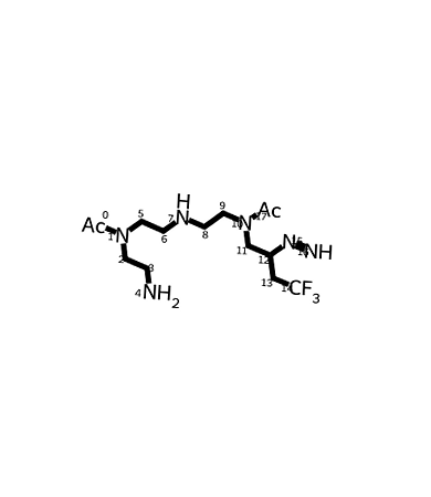 CC(=O)N(CCN)CCNCCN(CC(CC(F)(F)F)N=N)C(C)=O